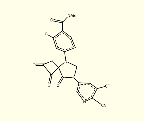 CNC(=O)c1ccc(N2CN(c3cnc(C#N)c(C(F)(F)F)c3)C(=O)C23CC(=O)C3=O)cc1F